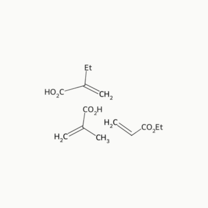 C=C(C)C(=O)O.C=C(CC)C(=O)O.C=CC(=O)OCC